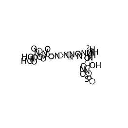 [2H]C([2H])([2H])Oc1ncc(-c2ccnc(N3CCc4c(sc5c4CCCC5)C3=O)c2C(C)(C)O)cc1Nc1ccc(N2CCN(C3CCN(c4ccc5c(c4)C(=O)N(C4CCC(=O)N(COP(=O)(O)O)C4=O)C5=O)CC3)C[C@@H]2C)cn1